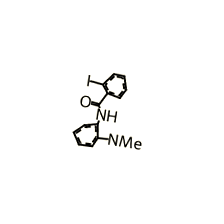 CNc1ccccc1NC(=O)c1ccccc1I